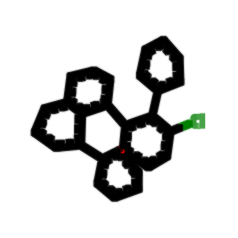 Clc1cccc(-c2cccc3cccc(-c4ccccc4)c23)c1-c1ccccc1